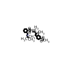 CC(CNS(=O)(=O)c1ccccc1/C=C/C(C)(C)C)c1cc2ccc(S(C)(=O)=O)cc2n1C